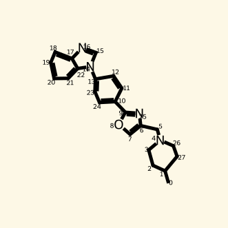 CC1CCN(Cc2coc(-c3ccc(-n4cnc5ccccc54)cc3)n2)CC1